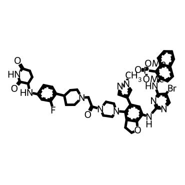 COP(=O)(OC)c1c(Nc2nc(Nc3cc(-c4cnn(C)c4)c(N4CCN(C(=O)CN5CCC(c6ccc(NC7CCC(=O)NC7=O)cc6F)CC5)CC4)c4c3OCC4)ncc2Br)ccc2ccccc12